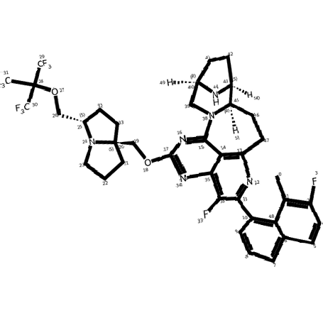 Cc1c(F)ccc2cccc(-c3nc4c5c(nc(OC[C@@]67CCCN6[C@H](COC(C(F)(F)F)(C(F)(F)F)C(F)(F)F)CC7)nc5c3F)N3C[C@H]5CC[C@H](N5)[C@H]3CC4)c12